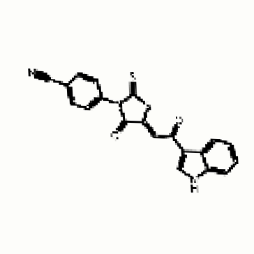 N#Cc1ccc(N2C(=O)/C(=C/C(=O)c3c[nH]c4ccccc34)SC2=S)cc1